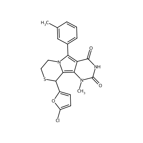 Cc1cccc(-c2c3c(=O)[nH]c(=O)n(C)c3c3n2CCSC3c2ccc(Cl)o2)c1